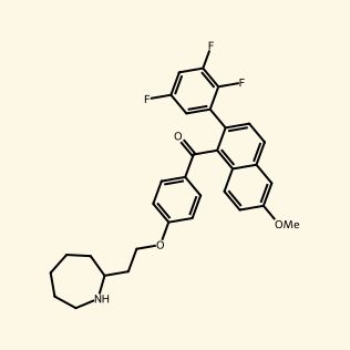 COc1ccc2c(C(=O)c3ccc(OCCC4CCCCCN4)cc3)c(-c3cc(F)cc(F)c3F)ccc2c1